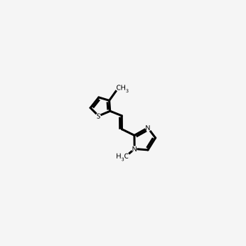 Cc1ccsc1C=Cc1nccn1C